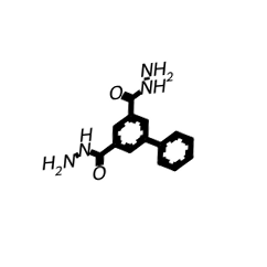 NNC(=O)c1cc(C(=O)NN)cc(-c2ccccc2)c1